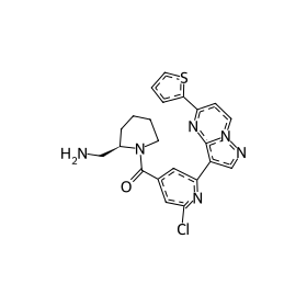 NC[C@H]1CCCCN1C(=O)c1cc(Cl)nc(-c2cnn3ccc(-c4cccs4)nc23)c1